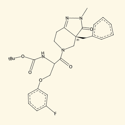 CN1N=C2CCN(C(=O)C(COc3cccc(F)c3)NC(=O)OC(C)(C)C)C[C@@]2(Cc2ccccc2)C1=O